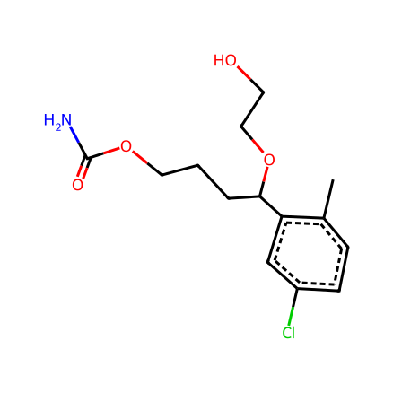 Cc1ccc(Cl)cc1C(CCCOC(N)=O)OCCO